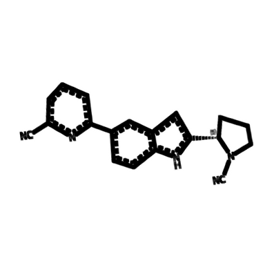 N#Cc1cccc(-c2ccc3[nH]c([C@@H]4CCCN4C#N)cc3c2)n1